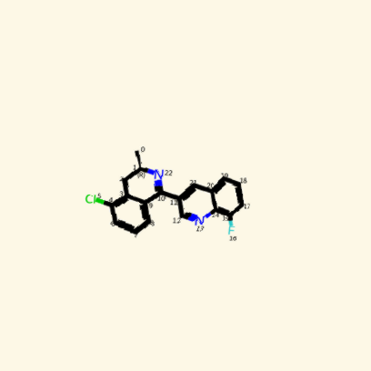 C[C@@H]1Cc2c(Cl)cccc2C(c2cnc3c(F)cccc3c2)=N1